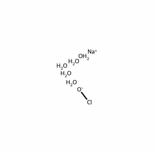 O.O.O.O.O.[Na+].[O-]Cl